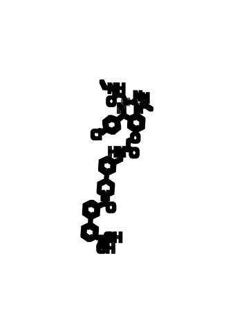 CCNC(=O)C[C@@H]1N=C(c2ccc(Cl)cc2)c2cc(OCC(=O)NCc3cccc(C4CCN(C(=O)c5cccc(-c6cccc(B(O)O)c6)c5)CC4)c3)ccc2-n2c(C)nnc21